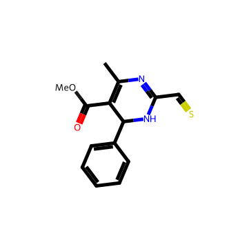 COC(=O)C1=C(C)N=C(C=S)NC1c1ccccc1